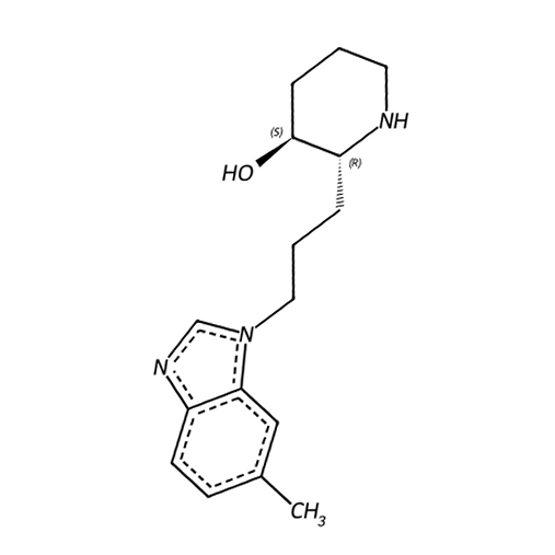 Cc1ccc2ncn(CCC[C@H]3NCCC[C@@H]3O)c2c1